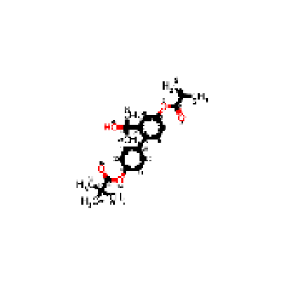 C=C(C)C(=O)Oc1ccc(-c2ccc(OC(=O)C(C)(C)C)cc2)c(C(C)(C)O)c1